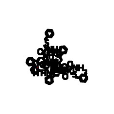 NC(=O)[C@H](CSCc1ccccc1)NC(=O)[C@H](Cc1c[nH]c2ccccc12)NC(=O)[C@H](Cc1c[nH]c2ccccc12)NC(=O)[C@H](CSCc1ccccc1)NC(=O)[C@H](Cc1c[nH]c2ccccc12)NC(=O)[C@@H](N)CSCc1ccccc1